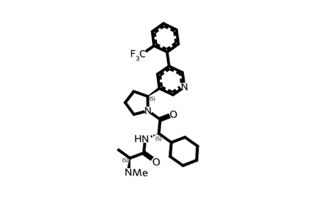 CN[C@@H](C)C(=O)N[C@H](C(=O)N1CCC[C@H]1c1cncc(-c2ccccc2C(F)(F)F)c1)C1CCCCC1